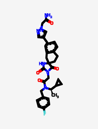 C[C@@H](C1CC1)N(Cc1ccc(F)cc1)C(=O)CN1C(=O)NC2(CCc3ccc(-c4cnn(CC(N)=O)c4)cc3C2)C1=O